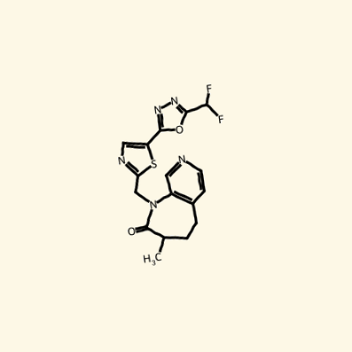 CC1CCc2ccncc2N(Cc2ncc(-c3nnc(C(F)F)o3)s2)C1=O